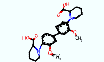 COc1cc(-c2ccc(N3CCCCC3C(=O)O)c(OC)c2)ccc1N1CCCCC1C(=O)O